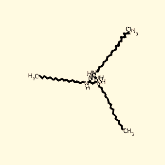 CCCCCCCCCCCCCCCCCCNC1=CC(NCCCCCCCCCCCCCCCCCC)=NN(NCCCCCCCCCCCCCCCCCC)N1